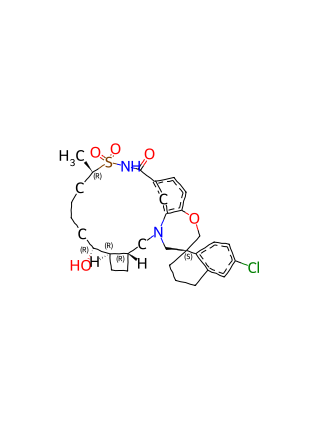 C[C@@H]1CCCC[C@@H](O)[C@@H]2CC[C@H]2CN2C[C@@]3(CCCc4cc(Cl)ccc43)COc3ccc(cc32)C(=O)NS1(=O)=O